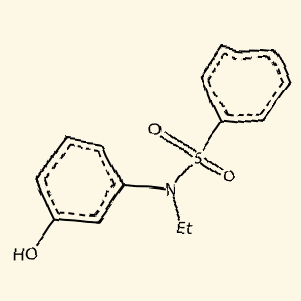 CCN(c1cccc(O)c1)S(=O)(=O)c1ccccc1